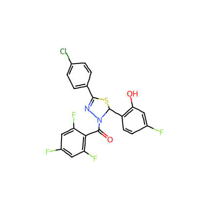 O=C(c1c(F)cc(F)cc1F)N1N=C(c2ccc(Cl)cc2)SC1c1ccc(F)cc1O